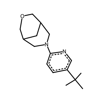 CC(C)(C)c1ccc(N2CC3COCC(C3)C2)nc1